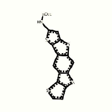 CCCCCCCCNc1cc2sc3cc4sc5ccsc5c4cc3c2s1